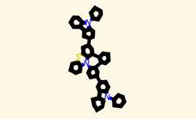 c1ccc(-n2c3ccccc3c3cc(-c4ccc5c(c4)-c4ccccc4-c4cc(-c6ccc7c(c6)c6ccccc6n7-c6ccccc6)cc6c4N5c4ccccc4S6)ccc32)cc1